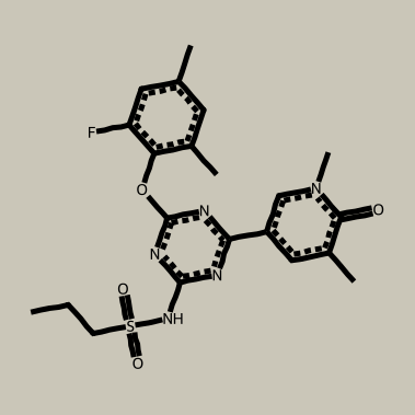 CCCS(=O)(=O)Nc1nc(Oc2c(C)cc(C)cc2F)nc(-c2cc(C)c(=O)n(C)c2)n1